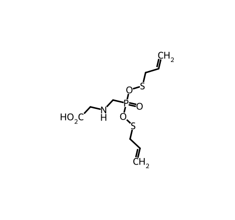 C=CCSOP(=O)(CNCC(=O)O)OSCC=C